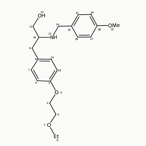 CCOCCOc1ccc(CC(CO)NCc2ccc(OC)cc2)cc1